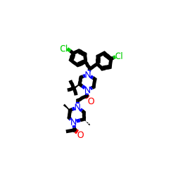 CC(=O)N1C[C@@H](C)N(CC(=O)N2CCN(C(c3ccc(Cl)cc3)c3ccc(Cl)cc3)C[C@@H]2C(C)(C)C)C[C@@H]1C